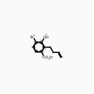 C=CCCc1c(C(=O)OCC)ccc(Br)c1O